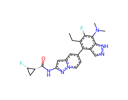 CCc1c(F)c(N(C)C)c2[nH]ncc2c1-c1ccn2nc(NC(=O)[C@@H]3C[C@@H]3F)cc2c1